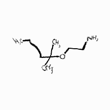 CCCC(C)(C)OCCN